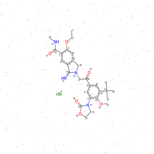 Br.CCOc1cc2c(cc1C(=O)NC)C(=N)N(CC(=O)c1cc(N3CCOC3=O)c(OC)c(C(C)(C)C)c1)C2